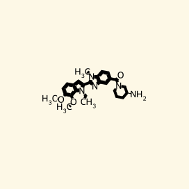 CCn1c(-c2nc3cc(C(=O)N4CCC[C@@H](N)C4)ccc3n2C)cc2ccc(OC)c(OC)c21